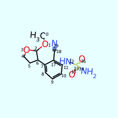 COC1OCCC1c1cccc(NS(N)(=O)=O)c1C#N